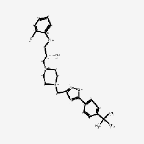 CC(C)(C)c1ccc(-c2nc(CN3CCN(C[C@@H](O)COc4ccccc4F)CC3)no2)cc1